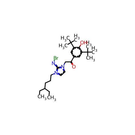 CCC(CC)CCCn1ccn(CC(=O)c2cc(C(C)(C)C)c(O)c(C(C)(C)C)c2)/c1=N\Br